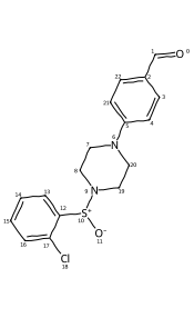 O=Cc1ccc(N2CCN([S+]([O-])c3ccccc3Cl)CC2)cc1